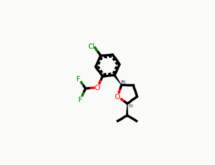 CC(C)[C@@H]1CC[C@H](c2ccc(Cl)cc2OC(F)F)O1